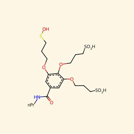 CCCNC(=O)c1cc(OCCCSO)c(OCCCS(=O)(=O)O)c(OCCCS(=O)(=O)O)c1